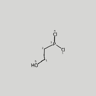 OCCP(Cl)Cl